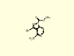 CC(C)(C)OC(=O)n1nc(Br)c2c(N)ncnc21